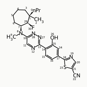 CCC[C@]1(C)CCCC[C@H](N(C)c2cnc(-c3ccc(-c4ncc(C#N)s4)cc3O)nn2)[C@@H]1F